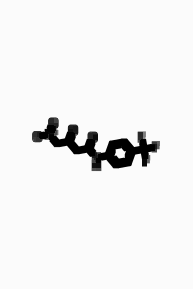 O=C(CC(=O)Nc1ccc(C(F)(F)F)cc1)C[N+](=O)[O-]